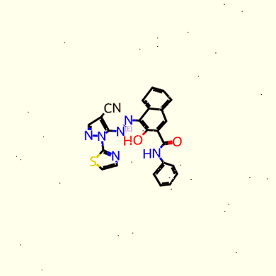 N#Cc1cnn(-c2nccs2)c1/N=N/c1c(O)c(C(=O)Nc2ccccc2)cc2ccccc12